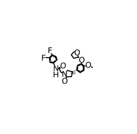 COc1ccc([C@@H]2CC(=O)N(CC(=O)Nc3ccc(F)c(F)c3)C2)cc1OC1CCCO1